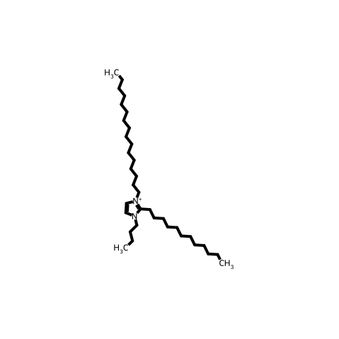 CCCCCCCCCCCCCCCC[n+]1ccn(CCCC)c1CCCCCCCCCCCC